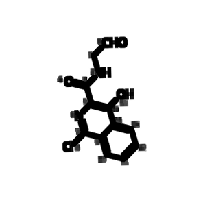 O=CCNC(=O)c1nc(Cl)c2ccccc2c1O